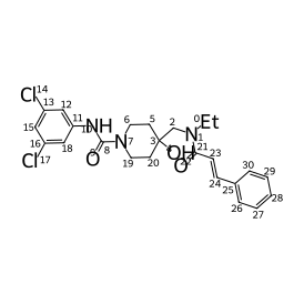 CCN(CC1(O)CCN(C(=O)Nc2cc(Cl)cc(Cl)c2)CC1)C(=O)C=Cc1ccccc1